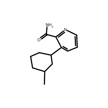 CC1CCCC(c2cccnc2C(N)=O)C1